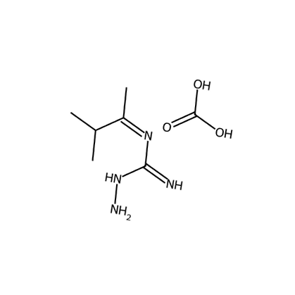 CC(=NC(=N)NN)C(C)C.O=C(O)O